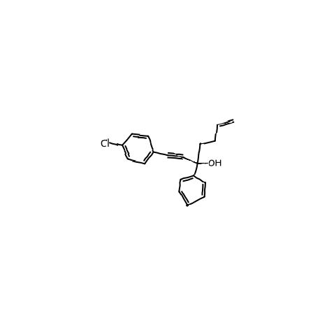 C=CCCC(O)(C#Cc1ccc(Cl)cc1)c1ccccc1